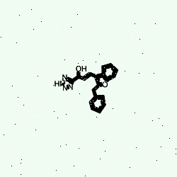 OC(C=Cc1c(Cc2ccccc2)oc2ccccc12)c1nn[nH]n1